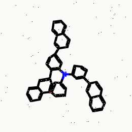 c1ccc(N(c2cccc(-c3ccc4ccccc4c3)c2)c2cc(-c3ccc4ccccc4c3)ccc2-c2ccc3ccccc3c2)cc1